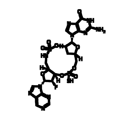 Nc1nc2c(ncn2[C@@H]2O[C@@H]3COP(=O)(S)O[C@H]4[C@@H](F)[C@H](n5cnc6cncnc65)O[C@@H]4CNS(=O)(=O)O[C@@H]2C3)c(=O)[nH]1